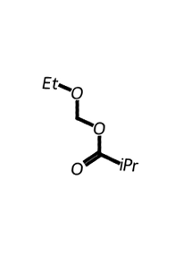 CCOCOC(=O)C(C)C